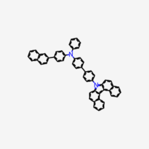 c1ccc(N(c2ccc(-c3ccc(-n4c5ccc6ccccc6c5c5c6ccccc6ccc54)cc3)cc2)c2ccc(-c3ccc4ccccc4c3)cc2)cc1